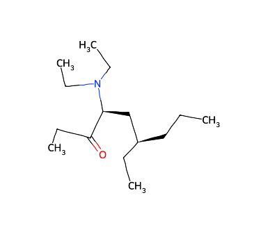 CCC[C@@H](CC)C[C@@H](C(=O)CC)N(CC)CC